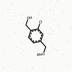 COCc1ccc(CO)c(Cl)c1